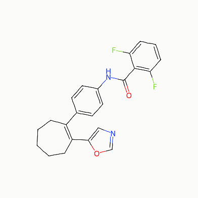 O=C(Nc1ccc(C2=C(c3cnco3)CCCCC2)cc1)c1c(F)cccc1F